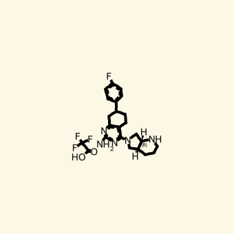 Nc1nc2c(c(N3C[C@H]4CCCN[C@H]4C3)n1)CCC(c1ccc(F)cc1)C2.O=C(O)C(F)(F)F